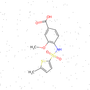 COc1cc(C(=O)O)ccc1NS(=O)(=O)c1ccc(C)s1